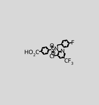 O=C(O)c1ccc(S(=O)(=O)N(Cc2ccc(F)cc2)c2ncc(C(F)(F)F)cc2Cl)cc1